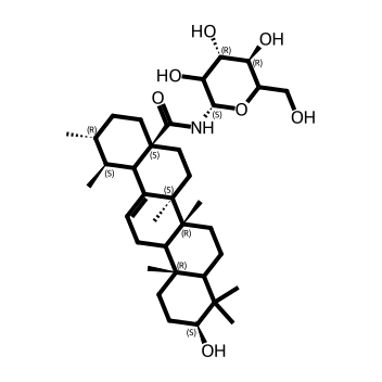 C[C@@H]1CC[C@]2(C(=O)N[C@H]3OC(CO)[C@H](O)[C@@H](O)C3O)CC[C@]3(C)C(=CCC4[C@@]5(C)CC[C@H](O)C(C)(C)C5CC[C@]43C)C2[C@H]1C